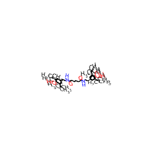 CC(C)(C)c1cc(CCNC(=O)CCCCC(=O)NCCc2cc(C(C)(C)C)c(O)c(C(C)(C)C)c2)cc(C(C)(C)C)c1O